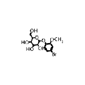 COc1cc(Br)ccc1OC1OC(CO)C(O)C(O)C1O